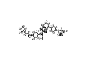 Cn1cc(-c2ccc(-c3cccc4nc(Nc5ccc(OCCN6CCCC6)cc5)nn34)cc2)cn1